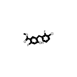 COC(=O)c1cc(Cc2cccc(Cl)c2F)c(O)cc1F